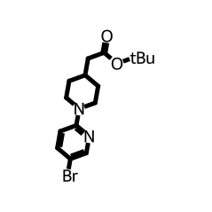 CC(C)(C)OC(=O)CC1CCN(c2ccc(Br)cn2)CC1